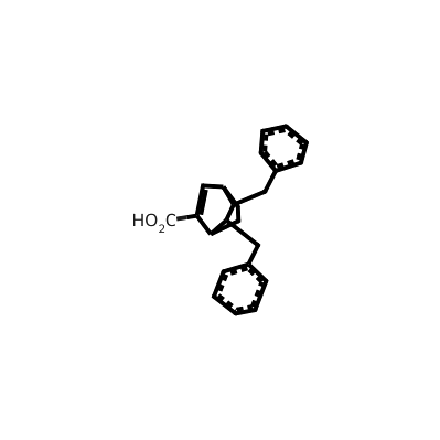 O=C(O)C1=CC2CCC1C(Cc1ccccc1)C2Cc1ccccc1